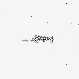 CCCCCCOC(=O)[C@@]1(C)CC[C@]2(C)CC[C@]3(C)C(=CC(=O)C4[C@@]5(C)CC[C@H](OCc6ccccc6)C(C)(C)C5CC[C@]43C)[C@H]2C1